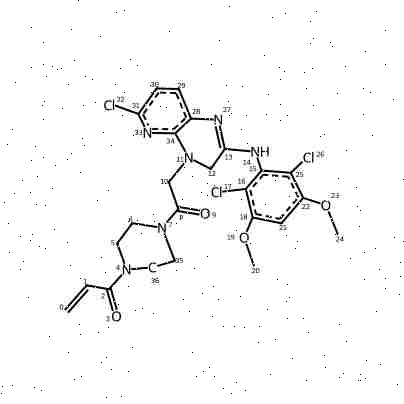 C=CC(=O)N1CCN(C(=O)CN2CC(Nc3c(Cl)c(OC)cc(OC)c3Cl)=Nc3ccc(Cl)nc32)CC1